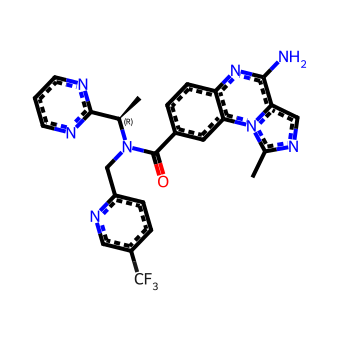 Cc1ncc2c(N)nc3ccc(C(=O)N(Cc4ccc(C(F)(F)F)cn4)[C@H](C)c4ncccn4)cc3n12